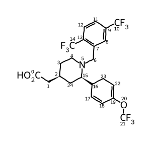 O=C(O)C[C@H]1CCN(Cc2cc(C(F)(F)F)ccc2C(F)(F)F)[C@@H](C2C=CC(OC(F)(F)F)=CC2)C1